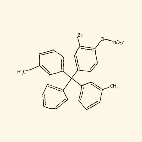 CCCCCCCCCCOc1ccc(C(c2ccccc2)(c2cccc(C)c2)c2cccc(C)c2)cc1C(C)CC